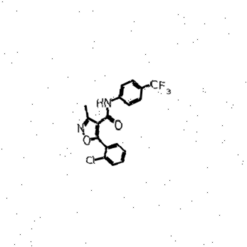 Cc1noc(-c2ccccc2Cl)c1C(=O)Nc1ccc(C(F)(F)F)cc1